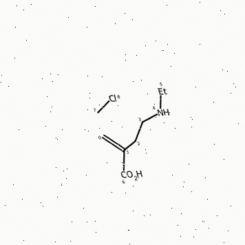 C=C(CCNCC)C(=O)O.CCl